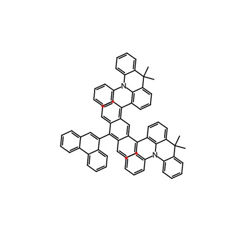 CC1(C)c2ccccc2N(c2ccccc2)c2c(-c3cccc4c(-c5cc6ccccc6c6ccccc56)c5cccc(-c6cccc7c6N(c6ccccc6)c6ccccc6C7(C)C)c5cc34)cccc21